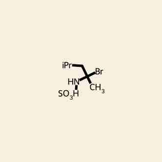 CC(C)CC(C)(Br)NS(=O)(=O)O